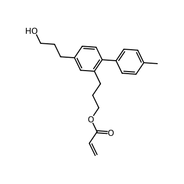 C=CC(=O)OCCCc1cc(CCCO)ccc1-c1ccc(C)cc1